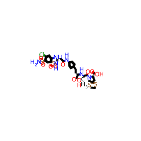 CC(N[C@@H](CCc1ccc(NC(=O)C[C@H]2Nc3cc(Cl)c(S(N)(=O)=O)cc3S(=O)(=O)N2)cc1)C(=O)O)C(=O)N1CC2(C[C@H]1C(=O)O)SCCS2